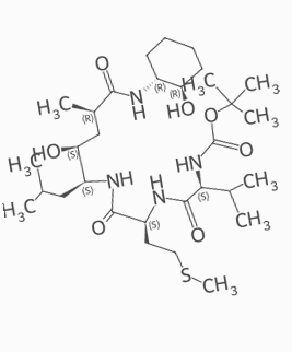 CSCC[C@H](NC(=O)[C@@H](NC(=O)OC(C)(C)C)C(C)C)C(=O)N[C@@H](CC(C)C)[C@@H](O)C[C@@H](C)C(=O)N[C@@H]1CCCC[C@H]1O